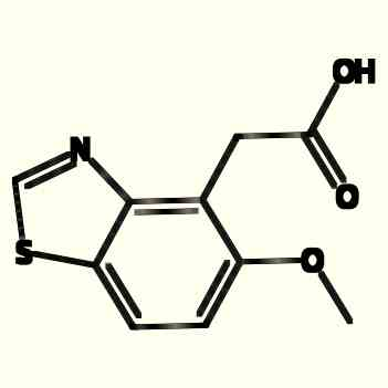 COc1ccc2scnc2c1CC(=O)O